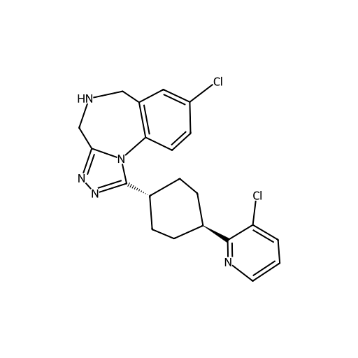 Clc1ccc2c(c1)CNCc1nnc([C@H]3CC[C@H](c4ncccc4Cl)CC3)n1-2